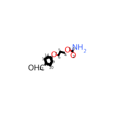 NC(=O)OCCCOc1ccc(C=O)cc1